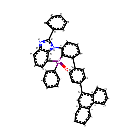 O=P1(c2ccccc2)c2c(-c3ccc(-c4cc5ccccc5c5ccccc45)cc3)cccc2-n2c(-c3ccccc3)nc3cccc1c32